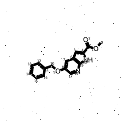 COC(=O)c1cc2cc(OCc3ccccc3)cnc2[nH]1